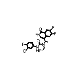 CC(C)CN(C(=O)Nc1ccc(F)c(Cl)c1)C(C)c1cn(C)c(=O)c2cc(F)c(F)cc12